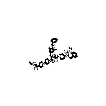 CCOC(=O)C1CCN(C2CCN(C(=O)[C@@H](Cc3cc(C)c(OCc4ccccc4)c(C)c3)OC(=O)N3CCC(N4CCc5ccccc5NC4=O)CC3)CC2)CC1